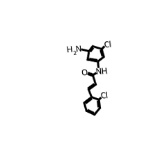 Nc1cc(Cl)cc(NC(=O)/C=C/c2ccccc2Cl)c1